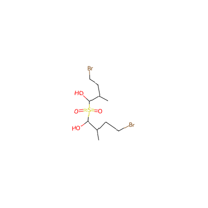 CC(CCBr)C(O)S(=O)(=O)C(O)C(C)CCBr